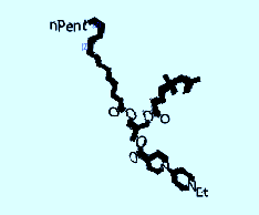 C=C(C)CC(C)(C)CCCC(=O)OCC(COC(=O)CCCCCCC/C=C\C/C=C\CCCCC)COC(=O)C1CCN(C2CCN(CC)CC2)CC1